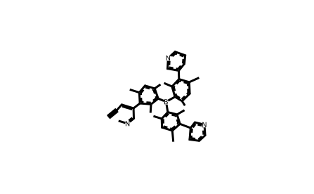 C#C/C=C(\C=N/C)c1c(C)cc(C)c(B(c2c(C)cc(C)c(-c3cccnc3)c2C)c2c(C)cc(C)c(-c3cccnc3)c2C)c1C